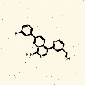 Nc1ncc(-c2cc(CO)ccn2)c2ccc(-c3cccc(F)c3)cc12